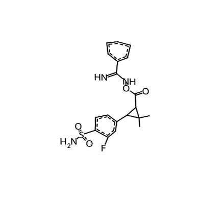 CC1(C)C(C(=O)ONC(=N)c2ccccc2)C1c1ccc(S(N)(=O)=O)c(F)c1